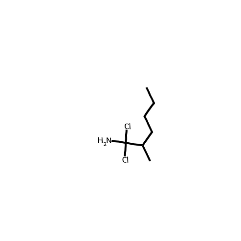 CCCCC(C)C(N)(Cl)Cl